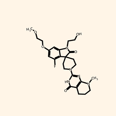 COCCOc1cc(F)c2c(c1)N(CCO)C(=O)C21CCN(c2nc3c(c(=O)[nH]2)CCCN3C)CC1